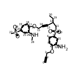 C#CCOc1ccc(S(=O)(=O)CC(C#CCOc2ccc(S(C)(=O)=O)cc2NC)CC)cc1N